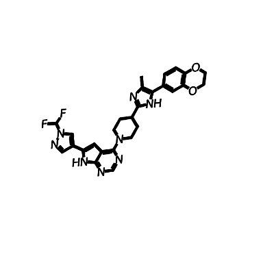 Cc1nc(C2CCN(c3ncnc4[nH]c(-c5cnn(C(F)F)c5)cc34)CC2)[nH]c1-c1ccc2c(c1)OCCO2